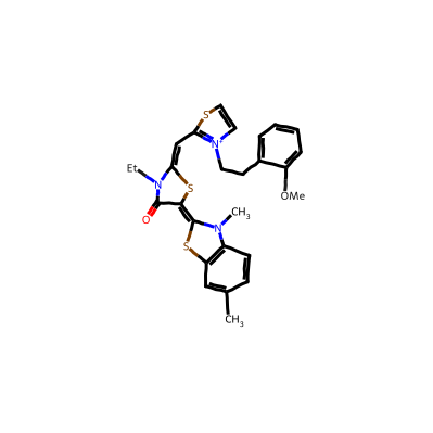 CCn1c(=O)/c(=C2\Sc3cc(C)ccc3N2C)s/c1=C\c1scc[n+]1CCc1ccccc1OC